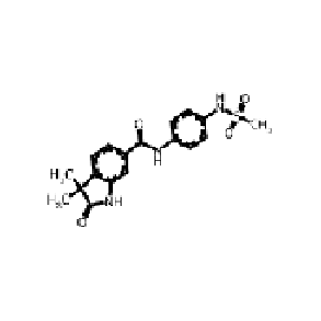 CC1(C)C(=O)Nc2cc(C(=O)Nc3ccc(NS(C)(=O)=O)cc3)ccc21